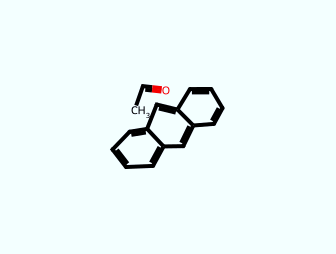 CC=O.c1ccc2cc3ccccc3cc2c1